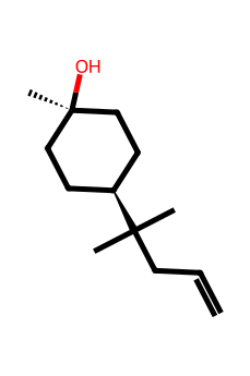 C=CCC(C)(C)[C@H]1CC[C@@](C)(O)CC1